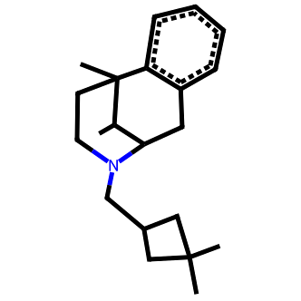 CC1C2Cc3ccccc3C1(C)CCN2CC1CC(C)(C)C1